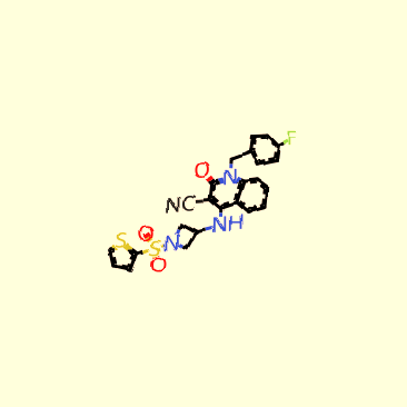 N#Cc1c(NC2CN(S(=O)(=O)c3cccs3)C2)c2ccccc2n(Cc2ccc(F)cc2)c1=O